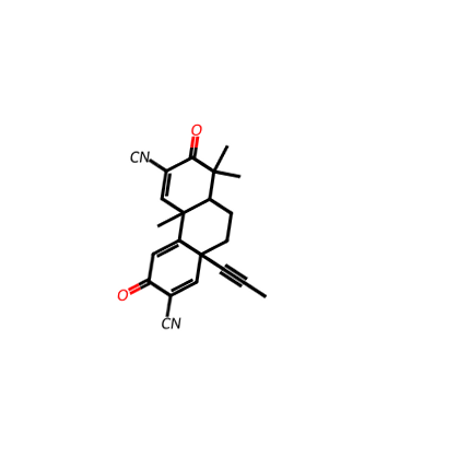 [C-]#[N+]C1=CC2(C)C3=CC(=O)C(C#N)=CC3(C#CC)CCC2C(C)(C)C1=O